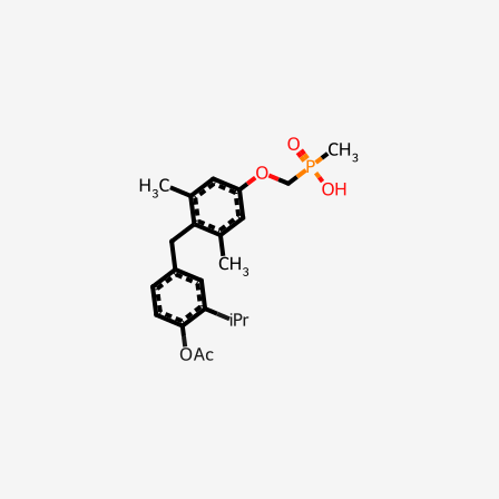 CC(=O)Oc1ccc(Cc2c(C)cc(OCP(C)(=O)O)cc2C)cc1C(C)C